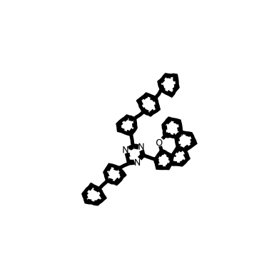 c1ccc(-c2ccc(-c3cccc(-c4nc(-c5ccc(-c6ccccc6)cc5)nc(-c5ccc6ccc7ccc8cccc9c8c7c6c5O9)n4)c3)cc2)cc1